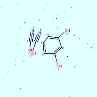 N#CO.N#CO.Oc1cccc(O)c1